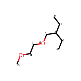 CCC(CC)COCCOC